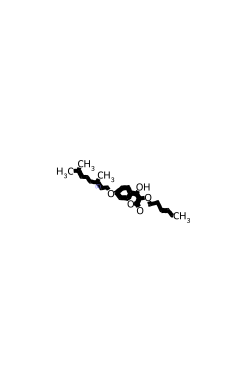 CCC=CCCOc1c(O)c2ccc(OC/C=C(\C)CCC=C(C)C)cc2oc1=O